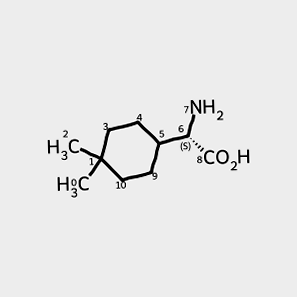 CC1(C)CCC([C@H](N)C(=O)O)CC1